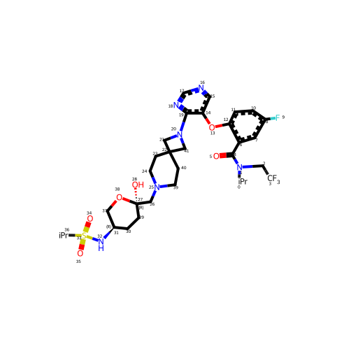 CC(C)N(CC(F)(F)F)C(=O)c1cc(F)ccc1Oc1cncnc1N1CC2(CCN(C[C@@]3(O)CC[C@@H](NS(=O)(=O)C(C)C)CO3)CC2)C1